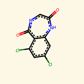 O=c1cnc(=O)c2c(Cl)cc(Cl)cc2[nH]1